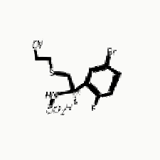 C[C@@](CSCCC#N)(NC(=O)O)c1cc(Br)ccc1F